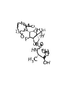 [2H]C([2H])([2H])[C@]1(COP(=O)(O)N[C@@H](C)C(=O)O)O[C@@H](n2c(=O)[nH]cc[13c]2=O)[C@H](F)[C@@H]1O